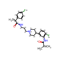 CC(C)C(=O)Nc1cc(C2CCN(CCCNC(=O)C(C)c3ccc(F)cc3)CC2)ccc1F